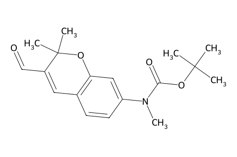 CN(C(=O)OC(C)(C)C)c1ccc2c(c1)OC(C)(C)C(C=O)=C2